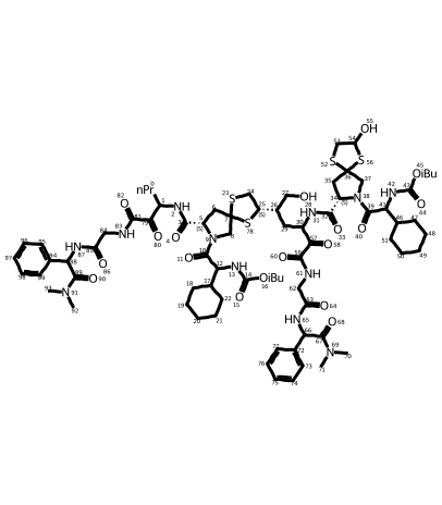 CCCC(NC(=O)[C@@H]1CC2(CN1C(=O)C(NC(=O)OCC(C)C)C1CCCCC1)SC[C@H](C(CO)CC(NC(=O)[C@@H]1CC3(CN1C(=O)C(NC(=O)OCC(C)C)C1CCCCC1)SCC(O)S3)C(=O)C(=O)NCC(=O)NC(C(=O)N(C)C)c1ccccc1)S2)C(=O)C(=O)NCC(=O)NC(C(=O)N(C)C)c1ccccc1